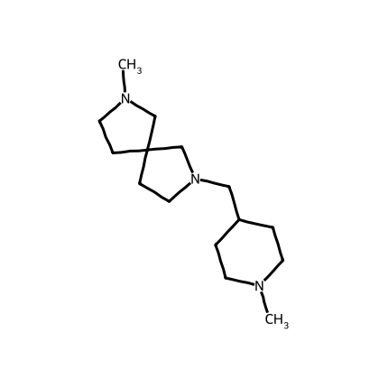 CN1CCC(CN2CCC3(CCN(C)C3)C2)CC1